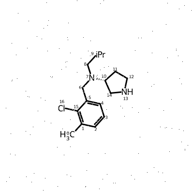 Cc1cccc(CN(CC(C)C)[C@@H]2CCNC2)c1Cl